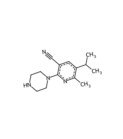 Cc1nc(N2CCNCC2)c(C#N)cc1C(C)C